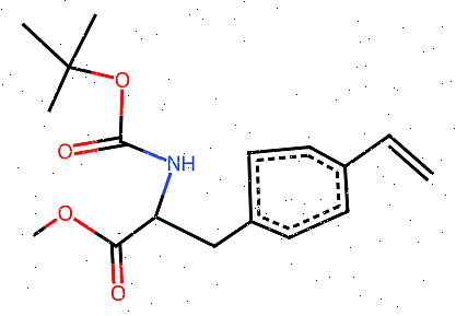 C=Cc1ccc(CC(NC(=O)OC(C)(C)C)C(=O)OC)cc1